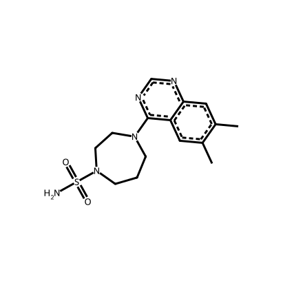 Cc1cc2ncnc(N3CCCN(S(N)(=O)=O)CC3)c2cc1C